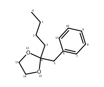 CCCCC1(Cc2ccccc2)OCCO1